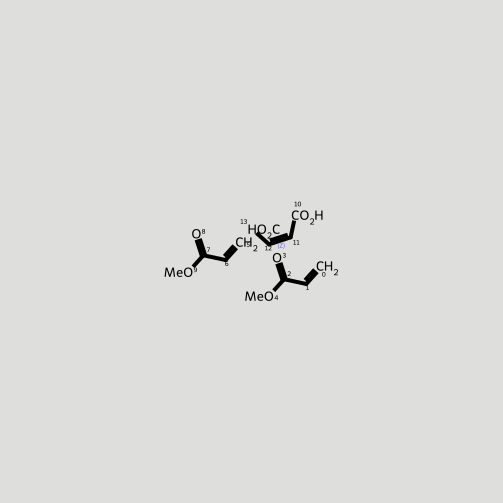 C=CC(=O)OC.C=CC(=O)OC.O=C(O)/C=C\C(=O)O